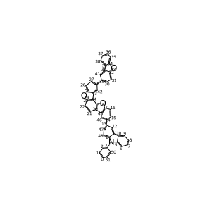 c1ccc(-n2c3ccccc3c3cc(-c4ccc5oc6c(ccc7oc8ccc(-c9ccc%10oc%11ccccc%11c%10c9)cc8c76)c5c4)ccc32)cc1